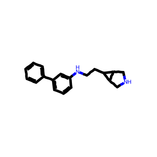 c1ccc(-c2cccc(NCCC3C4CNCC34)c2)cc1